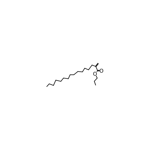 C=C(CCCCCCCCCCCCCC)C(=O)OCCC